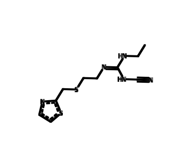 CCN/C(=N/CCSCc1nccs1)NC#N